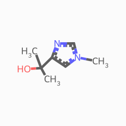 Cn1cnc(C(C)(C)O)c1